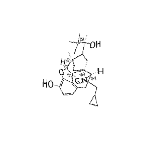 CC(C)(C)[C@@](C)(O)C1C[C@@]23CC[C@@]1(C)[C@@H]1Oc4c(O)ccc5c4[C@@]12CCN(CC1CC1)[C@@H]3C5